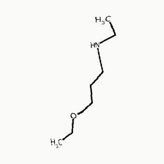 CCNCCCOCC